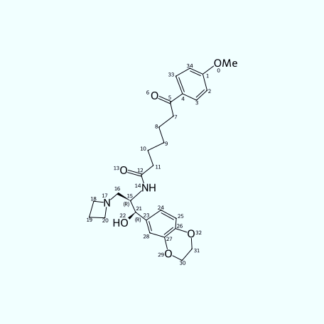 COc1ccc(C(=O)CCCCCC(=O)N[C@H](CN2CCC2)[C@H](O)c2ccc3c(c2)OCCO3)cc1